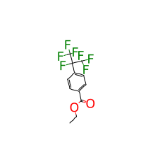 CCOC(=O)c1ccc(C(F)(C(F)(F)F)C(F)(F)F)cc1